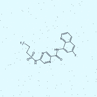 O=C(Nc1cc(F)cc2cccnc12)c1cnc(NS(=O)(=O)CCC(F)(F)F)cn1